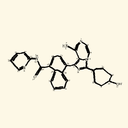 Nc1nccn2c(C3CCC(O)CC3)nc(-c3ccc(C(=O)Nc4ccccn4)c4ccccc34)c12